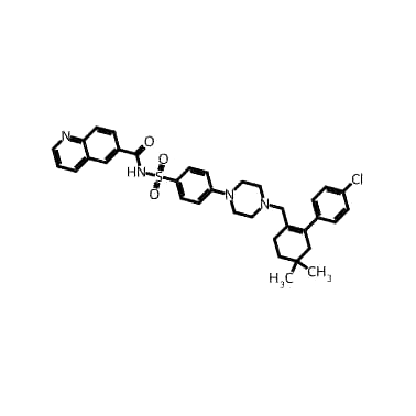 CC1(C)CCC(CN2CCN(c3ccc(S(=O)(=O)NC(=O)c4ccc5ncccc5c4)cc3)CC2)=C(c2ccc(Cl)cc2)C1